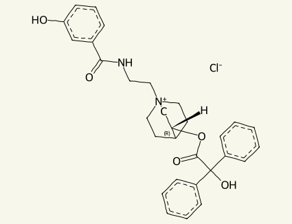 O=C(NCC[N+]12CCC(CC1)[C@@H](OC(=O)C(O)(c1ccccc1)c1ccccc1)C2)c1cccc(O)c1.[Cl-]